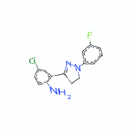 Nc1ccc(Cl)cc1C1=NN(c2cccc(F)c2)CC1